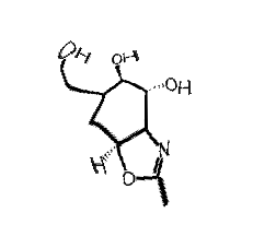 CC1=NC2[C@H](CC(CO)[C@@H](O)[C@@H]2O)O1